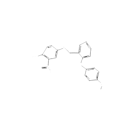 COc1ccc(Sc2ccccc2CNc2ccc(O)c([N+](=O)[O-])c2)cc1